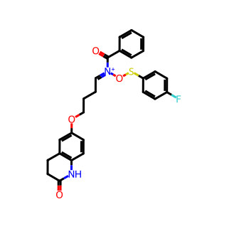 O=C1CCc2cc(OCCCC=[N+](OSc3ccc(F)cc3)C(=O)c3ccccc3)ccc2N1